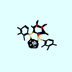 Cc1ccc(P(c2ccc(C)c(C)c2C)[C]23[CH]4[CH]5[CH]6[C]2(P(c2ccc(C)c(C)c2C)c2ccc(C)c(C)c2C)[Zr]54632789[CH]3[CH]2[CH]7[CH]8[CH]39)c(C)c1C